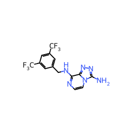 Nc1nnc2c(NCc3cc(C(F)(F)F)cc(C(F)(F)F)c3)nccn12